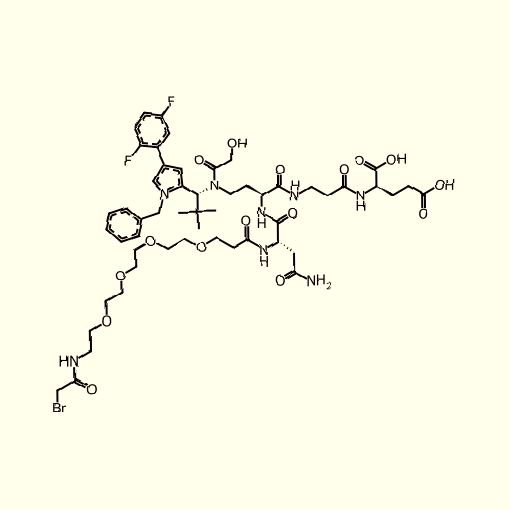 CC(C)(C)[C@H](c1cc(-c2cc(F)ccc2F)cn1Cc1ccccc1)N(CC[C@H](NC(=O)[C@H](CC(N)=O)NC(=O)CCOCCOCCOCCOCCNC(=O)CBr)C(=O)NCCC(=O)N[C@H](CCC(=O)O)C(=O)O)C(=O)CO